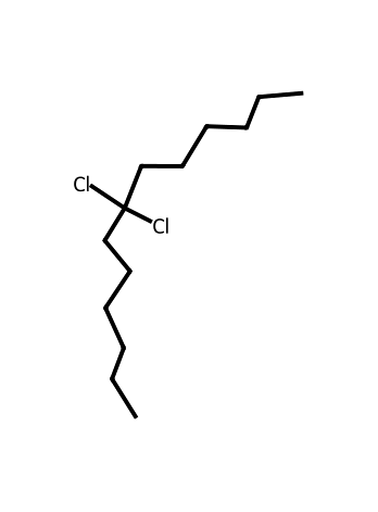 CCCCCCC(Cl)(Cl)CCCCCC